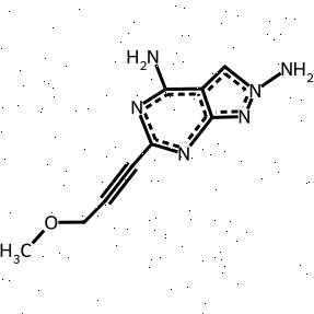 COCC#Cc1nc(N)c2cn(N)nc2n1